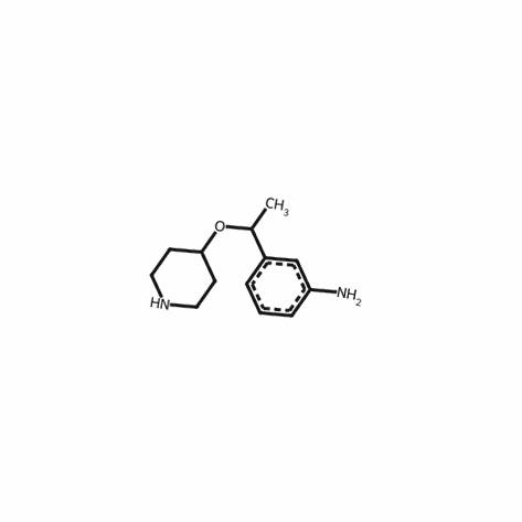 CC(OC1CCNCC1)c1cccc(N)c1